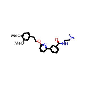 COc1ccc(CCOc2cccc(-c3cccc(C(=O)NCCN(C)C)c3)n2)cc1OC